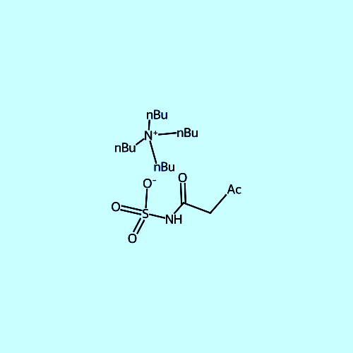 CC(=O)CC(=O)NS(=O)(=O)[O-].CCCC[N+](CCCC)(CCCC)CCCC